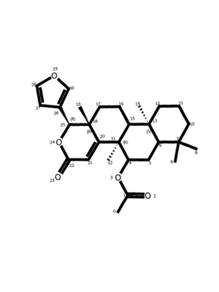 CC(=O)OC1CC2C(C)(C)CCC[C@]2(C)C2CC[C@]3(C)C(=CC(=O)O[C@H]3c3ccoc3)[C@]12C